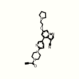 C#CC(=O)N1CCN(c2ccc(-c3cc(OCCN4CCCC4)cn4ncc(C#N)c34)cn2)CC1